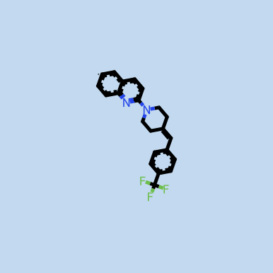 FC(F)(F)c1ccc(C=C2CCN(c3ccc4c[c]ccc4n3)CC2)cc1